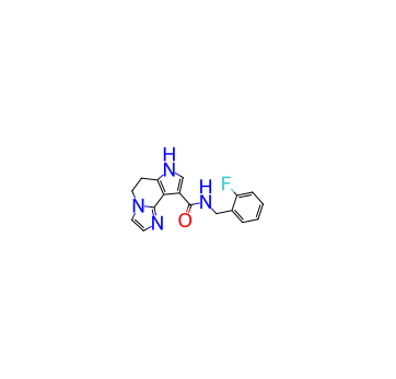 O=C(NCc1ccccc1F)c1c[nH]c2c1-c1nccn1CC2